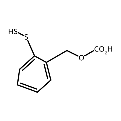 O=C(O)OCc1ccccc1SS